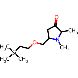 CC1C(=O)CC(COCC[Si](C)(C)C)N1C